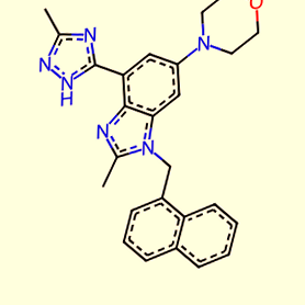 Cc1n[nH]c(-c2cc(N3CCOCC3)cc3c2nc(C)n3Cc2cccc3ccccc23)n1